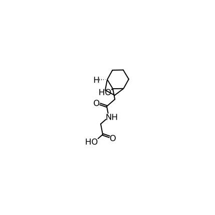 O=C(O)CNC(=O)C[C@@]1(O)C2CCC[C@@H]1CC2